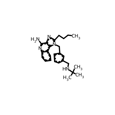 CCCCc1nc2c(N)nc3ccccc3c2n1Cc1cccc(CNC(C)(C)C)c1